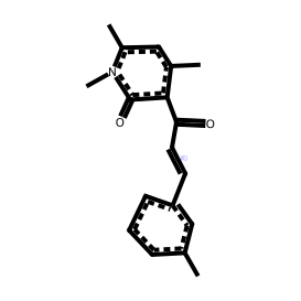 Cc1cccc(/C=C/C(=O)c2c(C)cc(C)n(C)c2=O)c1